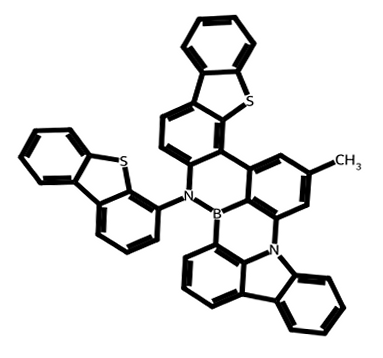 Cc1cc2c3c(c1)-n1c4ccccc4c4cccc(c41)B3N(c1cccc3c1sc1ccccc13)c1ccc3c(sc4ccccc43)c1-2